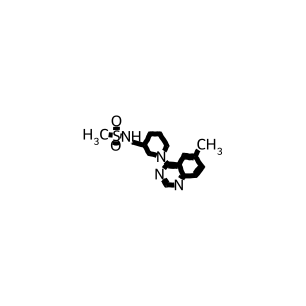 Cc1ccc2ncnc(N3CCCC(CNS(C)(=O)=O)C3)c2c1